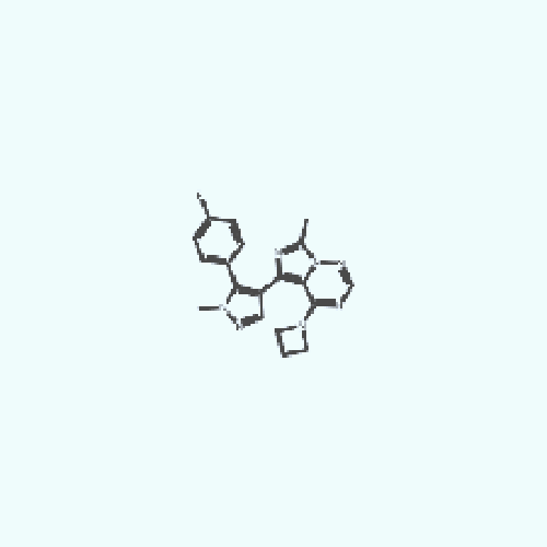 Cc1nc(-c2cnn(C)c2-c2ccc(F)cc2)c2c(N3CCC3)ncnn12